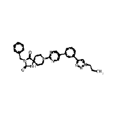 CCCn1cc(-c2cccc(-c3cnc(N4CCC5(CC4)NC(=O)N(Cc4ccccc4)C5=O)nc3)c2)nn1